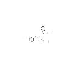 CN1CCN(C(=O)c2cc(C(F)(F)F)cc(C(F)(F)F)c2)[C@H](Cc2cn(C)c3ccccc23)C1